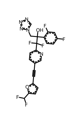 OC(Cn1cnnn1)(c1ccc(F)cc1F)C(F)(F)c1ccc(C#Cc2ccc(C(F)F)o2)cn1